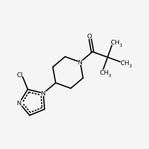 CC(C)(C)C(=O)N1CCC(n2ccnc2Cl)CC1